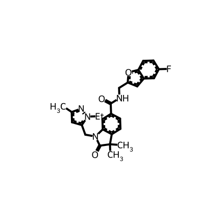 CCn1nc(C)cc1CN1C(=O)C(C)(C)c2ccc(C(=O)NCc3cc4cc(F)ccc4o3)cc21